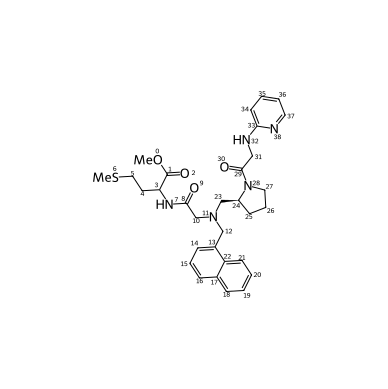 COC(=O)C(CCSC)NC(=O)CN(Cc1cccc2ccccc12)C[C@@H]1CCCN1C(=O)CNc1ccccn1